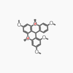 COc1ccc(C(c2c(OC)cc(OC)cc2OC)c2c(OC)cc(OC)cc2OC)c(OC)c1